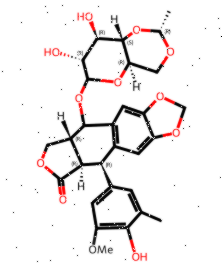 COc1cc([C@@H]2c3cc4c(cc3C(OC3O[C@@H]5CO[C@@H](C)O[C@H]5[C@H](O)[C@H]3O)[C@H]3COC(=O)[C@H]23)OCO4)cc(C)c1O